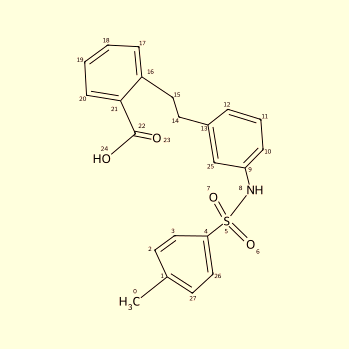 Cc1ccc(S(=O)(=O)Nc2cccc(CCc3ccccc3C(=O)O)c2)cc1